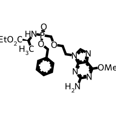 CCOC(=O)[C@H](C)NP(=O)(COCCn1cnc2c(OC)nc(N)nc21)OCc1ccccc1